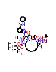 CC(C)n1c(O[C@@H]2C[C@H]3C(=O)N[C@]4(C(=O)NS(=O)(=O)C5CC5)C[C@H]4/C=C\CCCCC[C@H](NC(=O)OC(C)(C)C)C(=O)N3C2)nc2c(-c3nc4ccccc4s3)cccc21